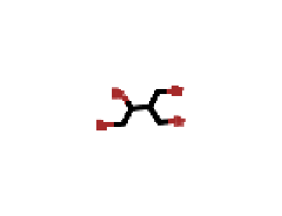 BrCC(Br)C(CBr)CBr